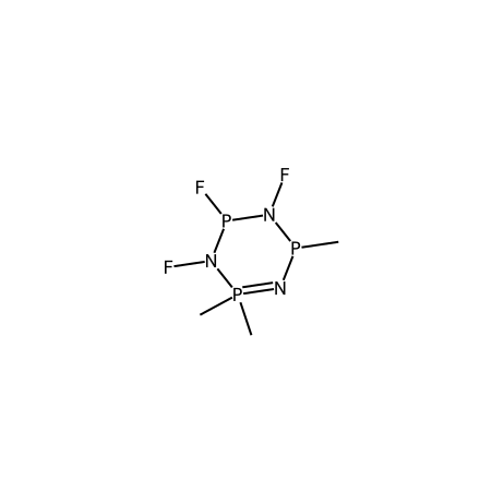 CP1N=P(C)(C)N(F)P(F)N1F